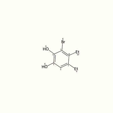 CCc1cc(O)c(O)c(Br)c1CC